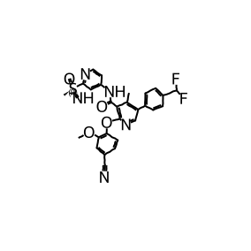 COc1cc(C#N)ccc1Oc1ncc(-c2ccc(C(F)F)cc2)c(C)c1C(=O)Nc1ccnc([S@](C)(=N)=O)c1